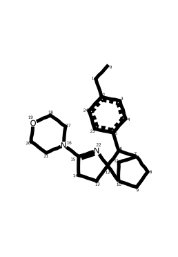 CCc1ccc(C2C3CCC(C3)C23CCC(N2CCOCC2)=N3)cc1